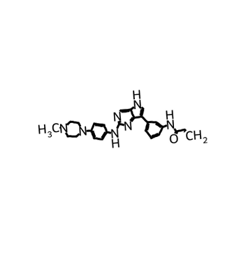 C=CC(=O)Nc1cccc(-c2c[nH]c3cnc(Nc4ccc(N5CCN(C)CC5)cc4)nc23)c1